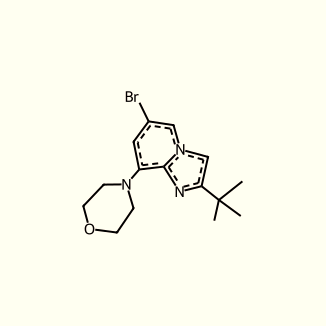 CC(C)(C)c1cn2cc(Br)cc(N3CCOCC3)c2n1